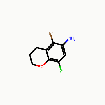 Nc1cc(Cl)c2c(c1Br)CCCO2